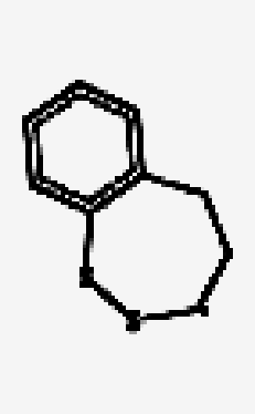 [C]1CCc2ccccc2SS1